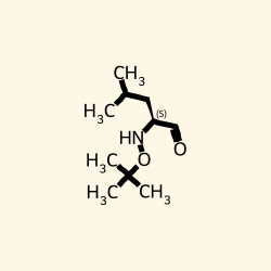 CC(C)C[C@@H](C=O)NOC(C)(C)C